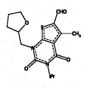 Cc1c(C=O)sc2c1c(=O)n(C(C)C)c(=O)n2CC1CCCO1